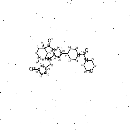 CN1CCC(C)(C(=O)n2nc(C3CCN(C(=O)N4CCOCC4)CC3)cc2NCc2ccc(Cl)s2)CC1